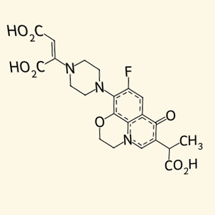 CC(C(=O)O)c1cn2c3c(c(N4CCN(/C(=C/C(=O)O)C(=O)O)CC4)c(F)cc3c1=O)OCC2